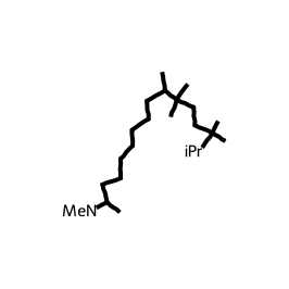 CNC(C)CCCCCCCC(C)C(C)(C)CCC(C)(C)C(C)C